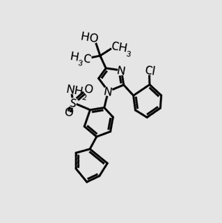 CC(C)(O)c1cn(-c2ccc(-c3ccccc3)cc2S(N)(=O)=O)c(-c2ccccc2Cl)n1